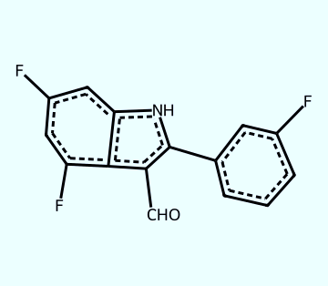 O=Cc1c(-c2cccc(F)c2)[nH]c2cc(F)cc(F)c12